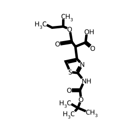 CCC(C)OC(=O)C(C(=O)O)c1csc(NC(=O)OC(C)(C)C)n1